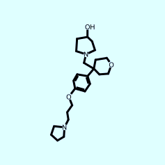 OC1CCN(CC2(c3ccc(OCCCN4CCCC4)cc3)CCOCC2)CC1